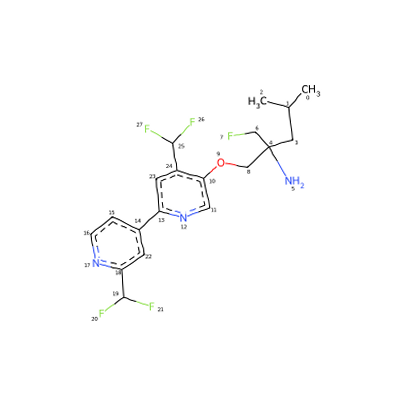 CC(C)CC(N)(CF)COc1cnc(-c2ccnc(C(F)F)c2)cc1C(F)F